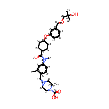 Cc1cc(N(C)C(=O)C2CCC(Oc3cccc(COCC(C)(C)O)c3)CC2)ccc1CN1CCN(C(=O)O)[C@@H](C)C1